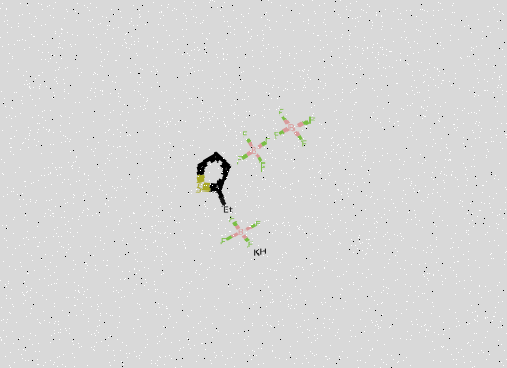 CCc1cccs1.F[B-](F)(F)F.F[B-](F)(F)F.F[B-](F)(F)F.[KH]